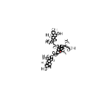 C[C@H](CCC(=O)O)[C@H]1CC[C@H]2[C@@H]3[C@H](OC(=O)CC[C@@H](C)[C@H]4CCC5C6C[C@H](O)C7C[C@H](O)CC[C@]7(C)C6CC[C@@]54C)CC4C[C@H](OC(=O)CC[C@@H](C)[C@H]5CCC6C7CC[C@@H]8C[C@H](O)CC[C@]8(C)C7C[C@H](O)[C@@]65C)CC[C@]4(C)[C@H]3CC[C@]12C